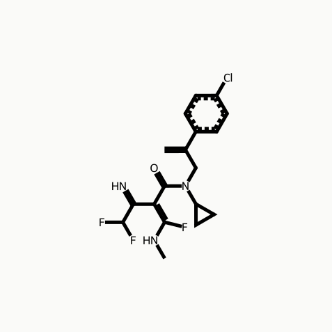 C=C(CN(C(=O)/C(C(=N)C(F)F)=C(\F)NC)C1CC1)c1ccc(Cl)cc1